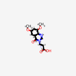 COc1cc(OC)c2ncn(/C=C/C(=O)O)c(=O)c2c1